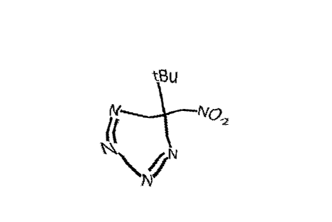 CC(C)(C)C1([N+](=O)[O-])N=NN=N1